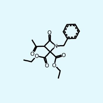 CCOC(=O)C1(C(=O)OCC)C(C(C)=O)C(=O)N1Cc1ccccc1